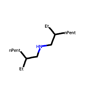 CCCCCC(CC)CNCC(CC)CCCCC